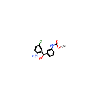 CC(C)(C)OC(=O)Nc1cccc(C(O)c2cc(Cl)ccc2N)c1